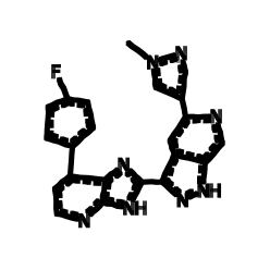 Cn1cc(-c2cc3c(-c4nc5c(-c6ccc(F)cc6)ccnc5[nH]4)n[nH]c3cn2)cn1